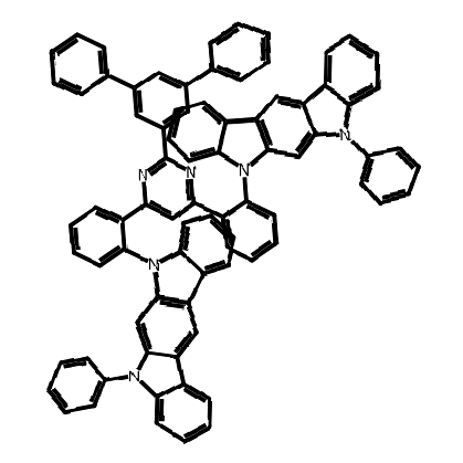 c1ccc(-c2cc(-c3ccccc3)cc(-c3nc(-c4ccccc4-n4c5ccccc5c5cc6c7ccccc7n(-c7ccccc7)c6cc54)cc(-c4ccccc4-n4c5ccccc5c5cc6c7ccccc7n(-c7ccccc7)c6cc54)n3)c2)cc1